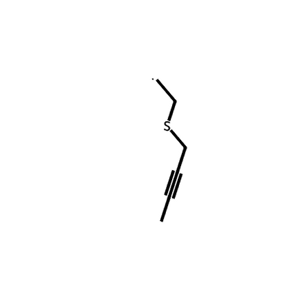 [CH2]CSCC#CC